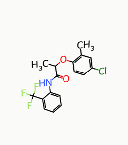 Cc1cc(Cl)ccc1OC(C)C(=O)Nc1ccccc1C(F)(F)F